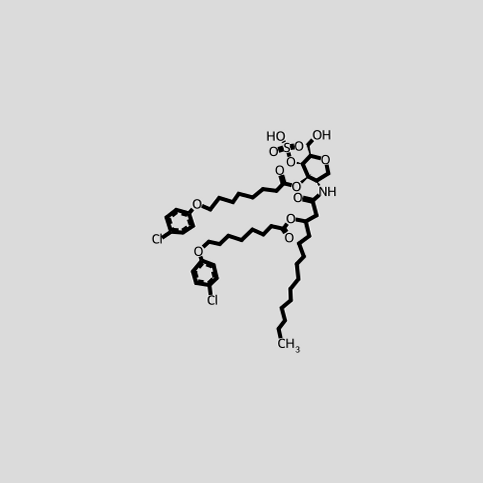 CCCCCCCCCCCC(CC(=O)N[C@H]1CO[C@H](CO)[C@@H](OS(=O)(=O)O)[C@@H]1OC(=O)CCCCCCCOc1ccc(Cl)cc1)OC(=O)CCCCCCCOc1ccc(Cl)cc1